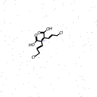 O=C(O)/C(C=CCCl)=C(/C=CCCl)C(=O)O